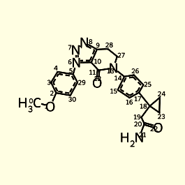 COc1ccc(-n2nnc3c2C(=O)N(c2ccc(C4(CC(N)=O)CC4)cc2)CC3)cc1